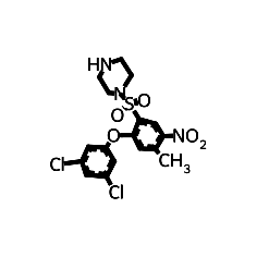 Cc1cc(Oc2cc(Cl)cc(Cl)c2)c(S(=O)(=O)N2CCNCC2)cc1[N+](=O)[O-]